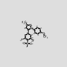 CS(=O)(=O)c1c(F)cc(-c2cc(C(F)(F)F)nn2-c2ccc(OC(F)(F)F)cc2)cc1F